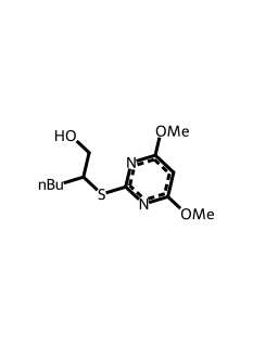 CCCCC(CO)Sc1nc(OC)cc(OC)n1